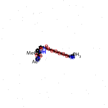 COc1ccc(-c2ccc(CNC(=O)COCCOCCOCCOCCOCCOCCn3cc(C)nn3)o2)c2[nH]cc(C(=O)C(=O)N3CCN(C(C)=O)CC3)c12